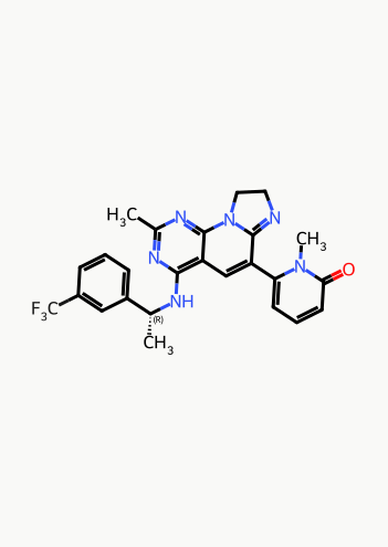 Cc1nc(N[C@H](C)c2cccc(C(F)(F)F)c2)c2c(n1)N1CCN=C1C(c1cccc(=O)n1C)=C2